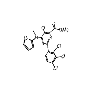 COC(=O)c1nc(-c2ccc(Cl)c(Cl)c2Cl)nc(N(C)c2ccco2)c1Cl